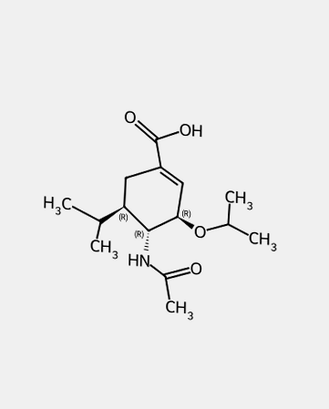 CC(=O)N[C@@H]1[C@@H](C(C)C)CC(C(=O)O)=C[C@H]1OC(C)C